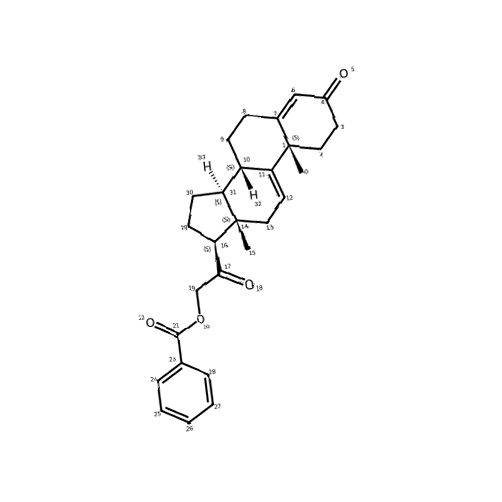 C[C@]12CCC(=O)C=C1CC[C@@H]1C2=CC[C@]2(C)[C@@H](C(=O)COC(=O)c3ccccc3)CC[C@@H]12